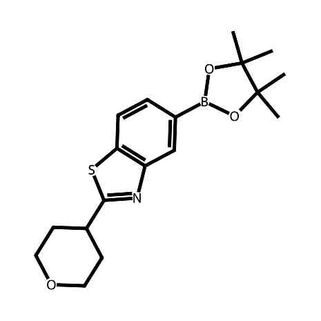 CC1(C)OB(c2ccc3sc(C4CCOCC4)nc3c2)OC1(C)C